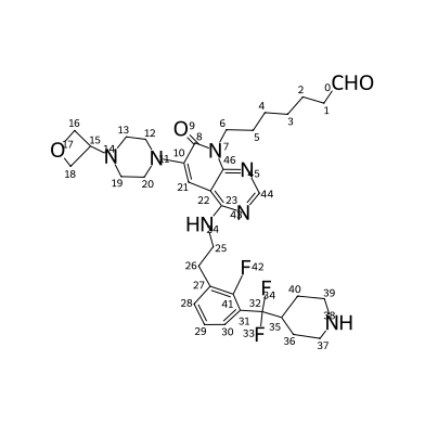 O=CCCCCCCn1c(=O)c(N2CCN(C3COC3)CC2)cc2c(NCCc3cccc(C(F)(F)C4CCNCC4)c3F)ncnc21